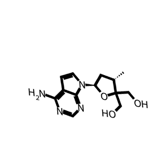 C[C@H]1C[C@H](n2ccc3c(N)ncnc32)OC1(CO)CO